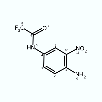 Nc1ccc(NC(=O)C(F)(F)F)cc1[N+](=O)[O-]